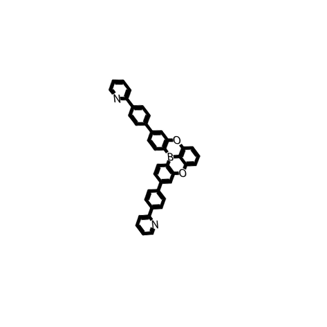 c1ccc(-c2ccc(-c3ccc4c(c3)Oc3cccc5c3B4c3ccc(-c4ccc(-c6ccccn6)cc4)cc3O5)cc2)nc1